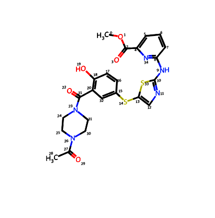 COC(=O)c1cccc(Nc2ncc(Sc3ccc(O)c(C(=O)N4CCN(C(C)=O)CC4)c3)s2)n1